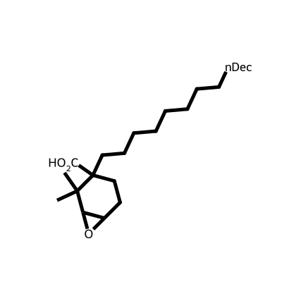 CCCCCCCCCCCCCCCCCCC1(C(=O)O)CCC2OC2C1(C)C